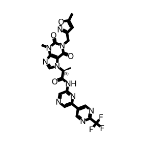 Cc1cc(Cn2c(=O)c3c(ncn3[C@@H](C)C(=O)Nc3cncc(-c4cnc(C(F)(F)F)nc4)n3)n(C)c2=O)no1